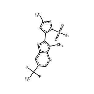 CCS(=O)(=O)c1sc(C(F)(F)F)cc1-c1nc2cc(C(F)(F)C(F)(F)F)cnc2n1C